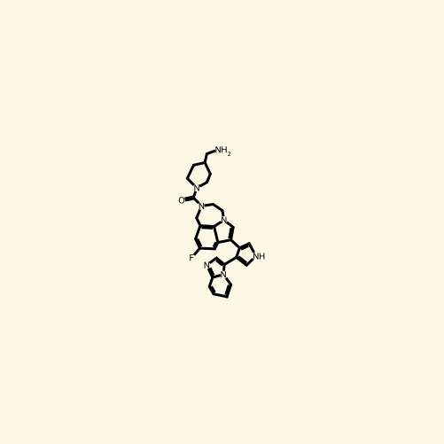 NCC1CCN(C(=O)N2CCn3cc(-c4c[nH]cc4-c4cnc5ccccn45)c4cc(F)cc(c43)C2)CC1